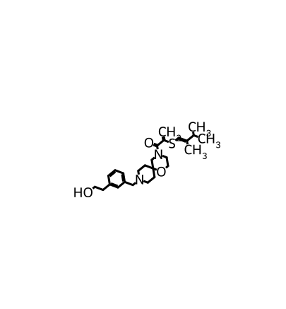 C=C(S/C=C(\C)C(C)C)C(=O)N1CCOC2(CCN(Cc3cccc(CCO)c3)CC2)C1